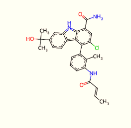 C/C=C/C(=O)Nc1cccc(-c2c(Cl)cc(C(N)=O)c3[nH]c4cc(C(C)(C)O)ccc4c23)c1C